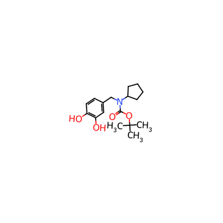 CC(C)(C)OC(=O)N(Cc1ccc(O)c(O)c1)C1CCCC1